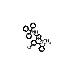 CCc1ccc(CNC(c2ccccc2)(c2ccccc2)c2ccccc2)n1-c1ccc(Cl)cc1C(=O)c1ccccc1Cl